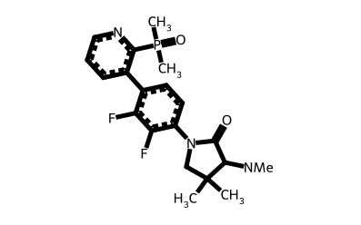 CNC1C(=O)N(c2ccc(-c3cccnc3P(C)(C)=O)c(F)c2F)CC1(C)C